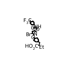 CCC(Cc1ccc(Oc2ncc(S(=O)(=O)Nc3ccc(C(F)(F)F)cc3)cc2Br)cc1)C(=O)O